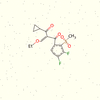 CCOC=C(C(=O)c1ccc(F)c(F)c1S(C)(=O)=O)C(=O)C1CC1